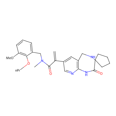 C=C(C(=O)N(C)Cc1cccc(OC)c1OCCC)c1cnc2c(c1)CNC1(CCCC1)C(=O)N2